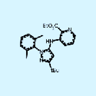 CCOC(=O)c1ncccc1Nc1cc(C(C)(C)C)nn1-c1c(C)cccc1C